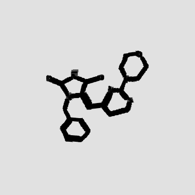 O=C1NC(=O)N(Cc2ccccc2)C1=Cc1ccnc(N2CCOCC2)n1